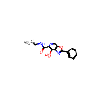 O=C(O)CNC(=O)c1ncc2oc(-c3ccccc3)nc2c1O